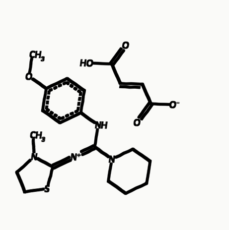 COc1ccc(NC(=[N+]=C2SCCN2C)N2CCCCC2)cc1.O=C([O-])C=CC(=O)O